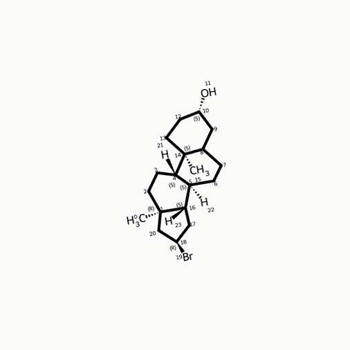 C[C@]12CC[C@H]3[C@@H](CCC4C[C@@H](O)CC[C@@]43C)[C@@H]1C[C@@H](Br)C2